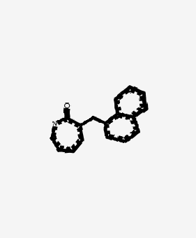 O=c1nccccc1Cc1cccc2ccccc12